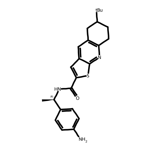 C[C@@H](NC(=O)c1cc2cc3c(nc2s1)CCC(C(C)(C)C)C3)c1ccc(N)cc1